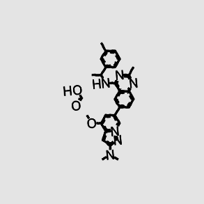 COc1cc(-c2ccc3nc(C)nc(NC(C)c4cccc(C)c4)c3c2)cn2nc(N(C)C)cc12.O=CO